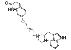 O=c1ccc2ccc(OC/C=C/CN3CCN4c5cccc6[nH]cc(c56)CC4C3)cc2[nH]1